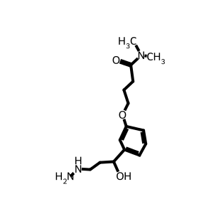 CN(C)C(=O)CCCOc1cccc(C(O)CCNN)c1